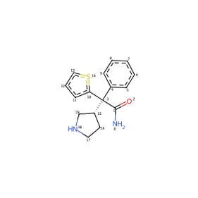 NC(=O)C(c1ccccc1)(c1cccs1)[C@@H]1CCNC1